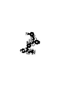 C[C@@H](c1ccc(NC(=O)[C@@H](NC(=O)C(F)(F)c2cccc(C#N)c2)C2CCC(C)(C)CC2)c(F)c1)[C@@H](NC(=O)c1cnns1)C(=O)N1CCN(C)CC1